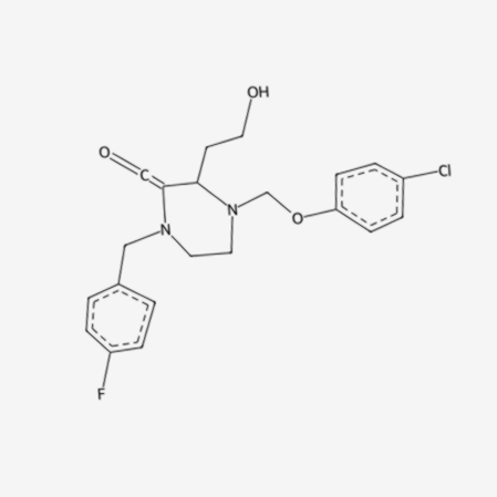 O=C=C1C(CCO)N(COc2ccc(Cl)cc2)CCN1Cc1ccc(F)cc1